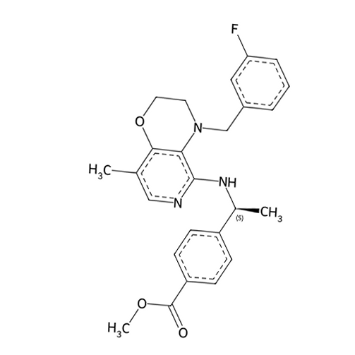 COC(=O)c1ccc([C@H](C)Nc2ncc(C)c3c2N(Cc2cccc(F)c2)CCO3)cc1